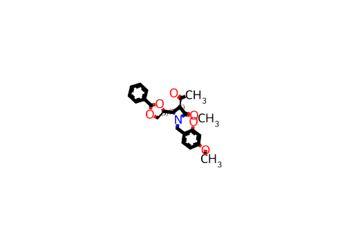 COc1ccc(CN2C(=O)[C@H](C(C)=O)[C@H]2[C@H]2COC(c3ccccc3)O2)c(OC)c1